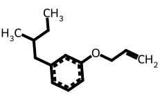 C=CCOc1cccc(CC(C)CC)c1